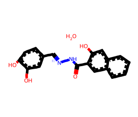 O.O=C(N/N=C/c1ccc(O)c(O)c1)c1cc2ccccc2cc1O